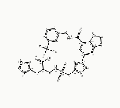 O=C(NCc1cccc(C(F)(F)F)c1)c1cc(-c2nnn(CS(=O)(=O)NCC(Cc3c[nH]cn3)C(=O)O)n2)cc2c1OCO2